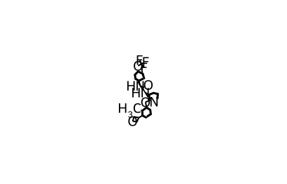 Cc1c(Oc2ncccc2NC(=O)Nc2ccc(OC(F)(F)F)cc2)cccc1C1COC1